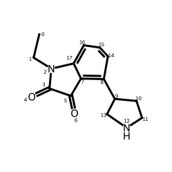 CCN1C(=O)C(=O)c2c(C3CCNC3)cccc21